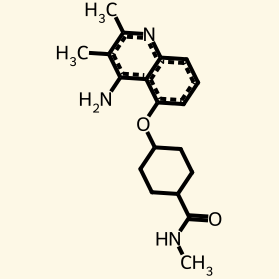 CNC(=O)C1CCC(Oc2cccc3nc(C)c(C)c(N)c23)CC1